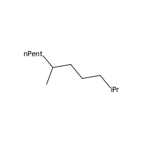 CCCCCC(C)CCCC(C)C